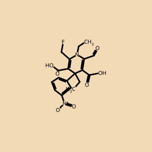 CCN1C(C=O)=C(C(=O)O)C(CC)(c2cccc([N+](=O)[O-])c2)C(C(=O)O)=C1CF